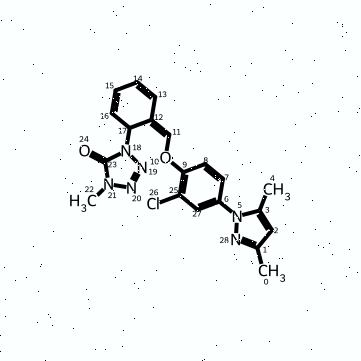 Cc1cc(C)n(-c2ccc(O/C=C3/C=CC=CC3n3nnn(C)c3=O)c(Cl)c2)n1